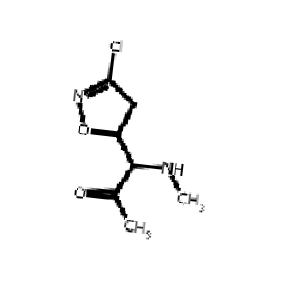 CNC(C(C)=O)C1CC(Cl)=NO1